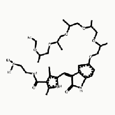 CCN(CC)CCNC(=O)c1c(C)[nH]c(/C=C2\C(=O)Nc3ccc(OCC(C)OCC(C)OCC(C)OCC(C)OCC(C)OCC(C)=O)cc32)c1C